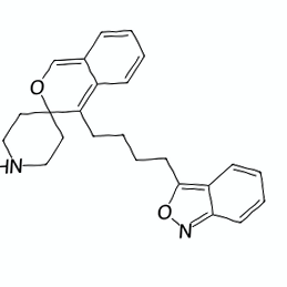 C1=c2ccccc2=C(CCCCc2onc3ccccc23)C2(CCNCC2)O1